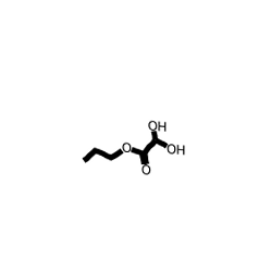 CCCOC(=O)[C](O)O